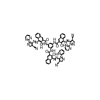 N#Cc1cnn(-c2ccccn2)c1/N=N/c1c(O)c(C(=O)Nc2cc(NC(=O)c3cc4ccccc4c(/N=N/c4c(C#N)cnn4-c4ncccn4)c3O)cc(NC(=O)c3cc4ccccc4c(/N=N/c4c(C#N)cnn4-c4ncccn4)c3O)c2)cc2ccccc12